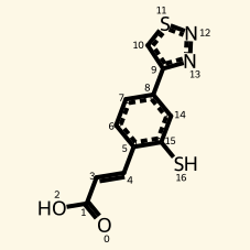 O=C(O)/C=C/c1ccc(-c2csnn2)cc1S